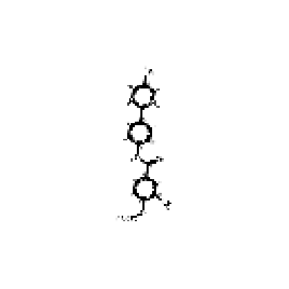 CCCCCCCCOc1ccc(C(=O)Oc2ccc(-c3ncc(CCC)cn3)cc2)cc1C#N